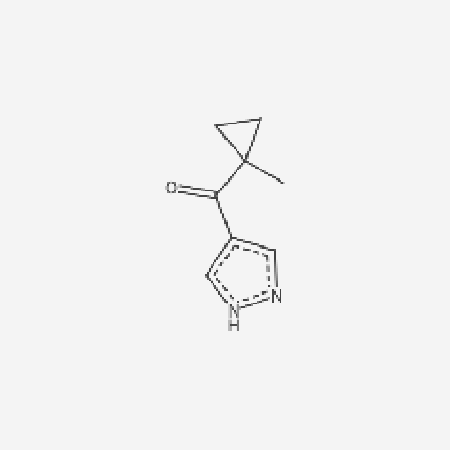 CC1(C(=O)c2cn[nH]c2)CC1